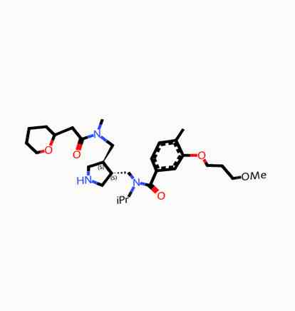 COCCCOc1cc(C(=O)N(C[C@@H]2CNC[C@H]2CN(C)C(=O)CC2CCCCO2)C(C)C)ccc1C